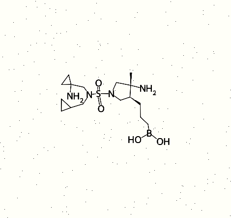 C[C@]1(N)CN(S(=O)(=O)N(CC2CC2)CC2(N)CC2)C[C@@H]1CCCB(O)O